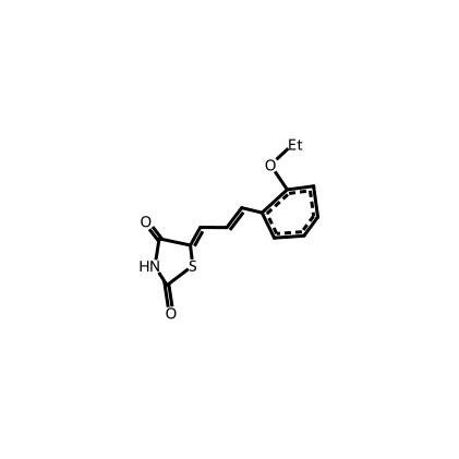 CCOc1ccccc1C=CC=C1SC(=O)NC1=O